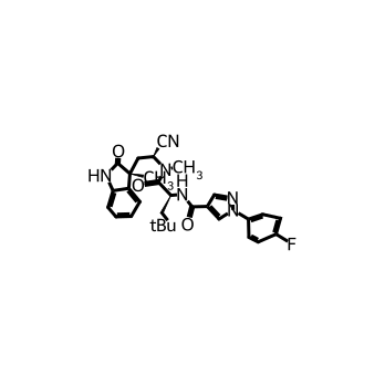 CN(C(=O)[C@H](CC(C)(C)C)NC(=O)c1cnn(-c2ccc(F)cc2)c1)[C@H](C#N)C[C@@]1(C)C(=O)Nc2ccccc21